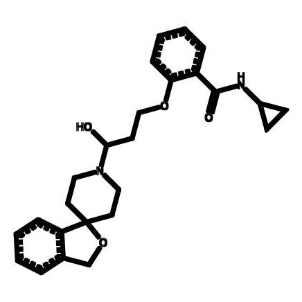 O=C(NC1CC1)c1ccccc1OCCC(O)N1CCC2(CC1)OCc1ccccc12